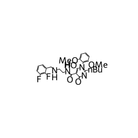 CCCCc1nc(=O)c(C(=O)NCCNCc2cccc(F)c2F)c(O)n1-c1c(OC)cccc1OC